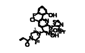 C=CC(=O)N1C[C@H](C)N(C2=NS(O)(O)N(c3scnc3C(C)C)c3nc(-c4c(O)cccc4F)c(Cl)cc32)C[C@H]1C